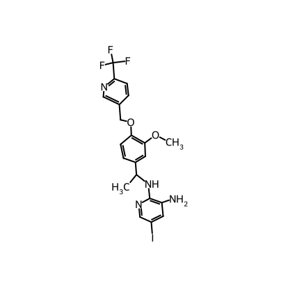 COc1cc(C(C)Nc2ncc(I)cc2N)ccc1OCc1ccc(C(F)(F)F)nc1